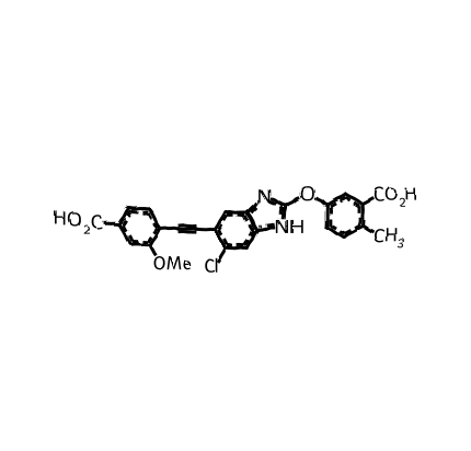 COc1cc(C(=O)O)ccc1C#Cc1cc2nc(Oc3ccc(C)c(C(=O)O)c3)[nH]c2cc1Cl